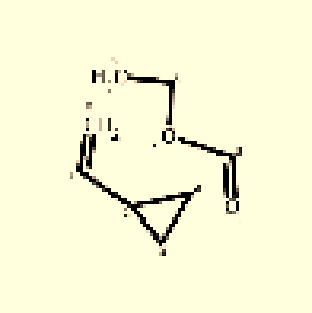 C=CC1CC1.CCOC=O